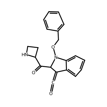 O=C=C1c2ccccc2N(OCc2ccccc2)C1C(=O)C1CCN1